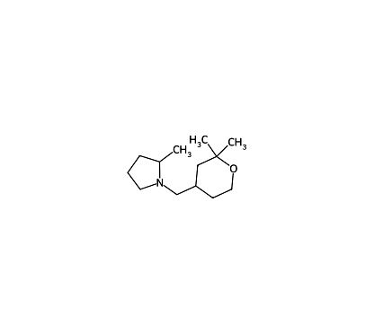 CC1CCCN1CC1CCOC(C)(C)C1